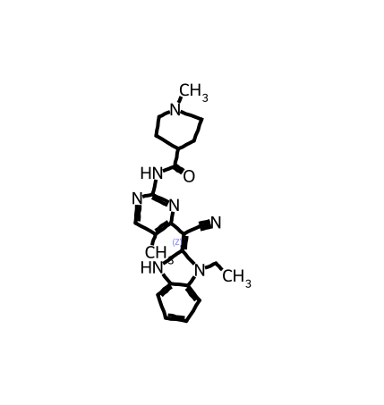 CCN1/C(=C(\C#N)c2nc(NC(=O)C3CCN(C)CC3)ncc2C)Nc2ccccc21